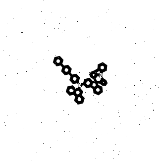 c1ccc(-c2ccc(-c3ccc(N(c4ccc5c(c4)-c4ccccc4C54c5ccccc5-n5c6ccccc6c6cccc4c65)c4cc5ccccc5c5ccccc45)cc3)cc2)cc1